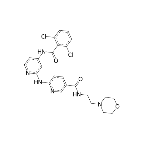 O=C(NCCN1CCOCC1)c1ccc(Nc2cc(NC(=O)c3c(Cl)cccc3Cl)ccn2)nc1